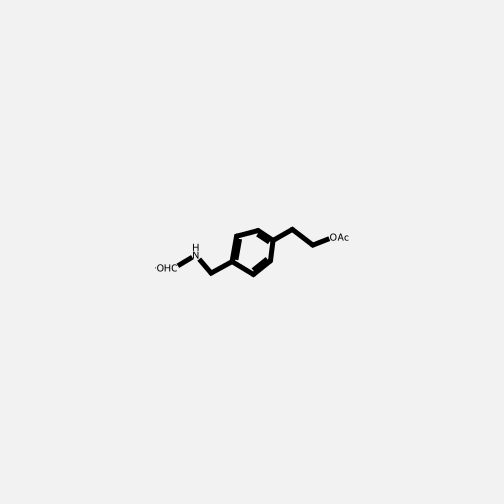 CC(=O)OCCc1ccc(CN[C]=O)cc1